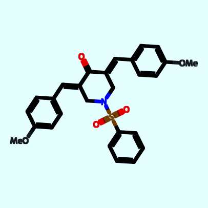 COc1ccc(/C=C2\CN(S(=O)(=O)c3ccccc3)C/C(=C\c3ccc(OC)cc3)C2=O)cc1